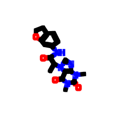 CC(C(=O)Nc1ccc2c(c1)OCC2)n1cnc2c1c(=O)n(C)c(=O)n2C